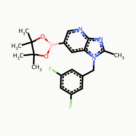 Cc1nc2ncc(B3OC(C)(C)C(C)(C)O3)cc2n1Cc1cc(F)cc(F)c1